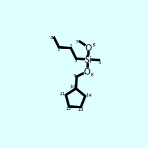 CCCC[Si](C)(OC)OCC1CCCC1